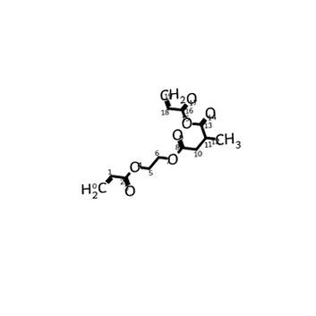 C=CC(=O)OCCOC(=O)CC(C)C(=O)OC(=O)C=C